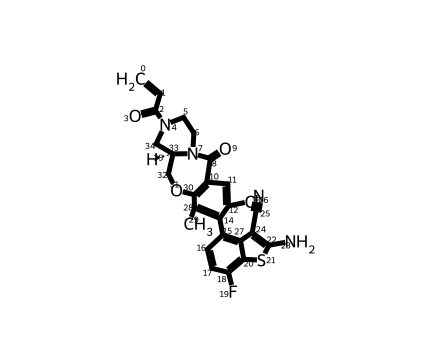 C=CC(=O)N1CCN2C(=O)c3cc(Cl)c(-c4ccc(F)c5sc(N)c(C#N)c45)c(C)c3OC[C@H]2C1